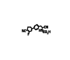 N#Cc1ccc(-c2ccc(CC(C#N)NC(=O)O)cc2)cc1F